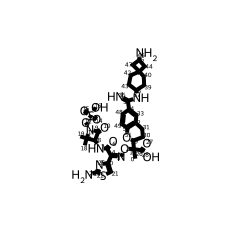 CC(ON=C(C(=O)NC1C(=O)N(OS(=O)(=O)O)C1(C)C)c1csc(N)n1)(C(=O)O)C1CCc2cc(C(=N)NC3CCC4(CC3)CC(N)C4)ccc2O1